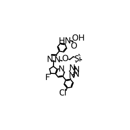 C[Si](C)(C)CCOCn1c(-c2ccc(NC(=O)O)cc2)cnc1C1CC(F)c2cc(-c3cc(Cl)ccc3-n3cnnn3)cnc21